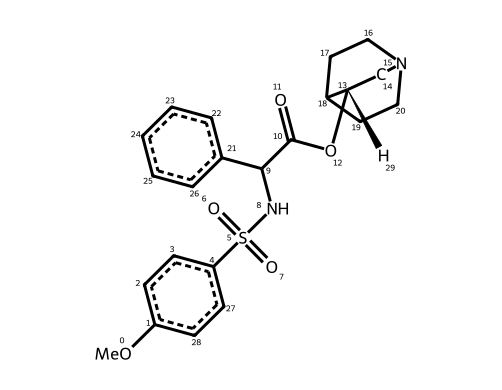 COc1ccc(S(=O)(=O)NC(C(=O)O[C@H]2CN3CCC2CC3)c2ccccc2)cc1